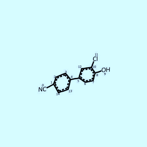 N#Cc1ccc(-c2ccc(O)c(Cl)c2)cc1